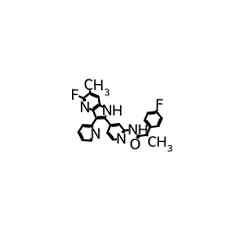 Cc1cc2[nH]c(-c3ccnc(NC(=O)[C@H](C)c4ccc(F)cc4)c3)c(-c3ccccn3)c2nc1F